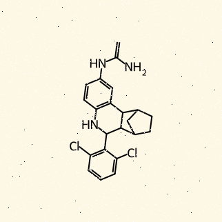 C=C(N)Nc1ccc2c(c1)C1C3CCC(C3)C1C(c1c(Cl)cccc1Cl)N2